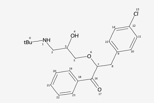 CC(C)(C)NCC(O)COC(Cc1ccc(Cl)cc1)C(=O)c1ccccc1